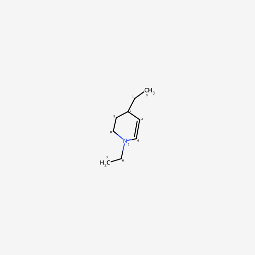 CCC1C=CN(CC)CC1